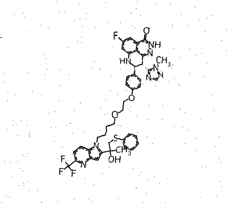 Cn1ncnc1[C@H]1c2n[nH]c(=O)c3cc(F)cc(c23)N[C@@H]1c1ccc(OCCOCCCCn2c(C(C)(O)CSc3ccccc3)cc3nc(C(F)(F)F)ccc32)cc1